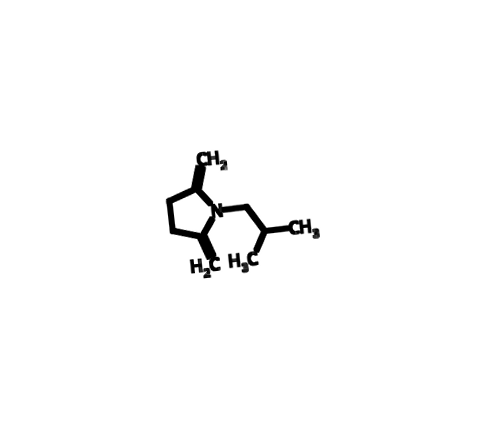 C=C1CCC(=C)N1CC(C)C